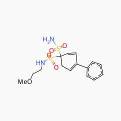 COCCNS(=O)(=O)C1(S(N)(=O)=O)C=CC(c2ccccc2)=CC1